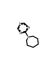 c1ncnc(N2CCCCCC2)n1